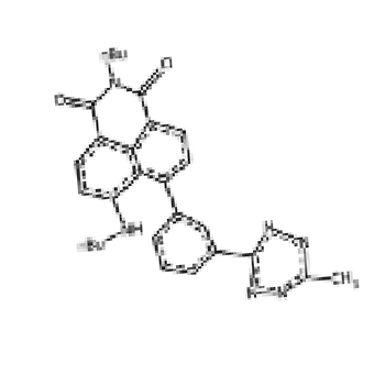 CCCCNc1ccc2c3c(ccc(-c4cccc(-c5nnc(C)nn5)c4)c13)C(=O)N(CCCC)C2=O